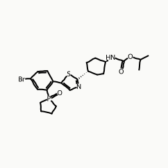 CC(C)OC(=O)N[C@H]1CC[C@H](c2ncc(-c3ccc(Br)cc3P3(=O)CCCC3)s2)CC1